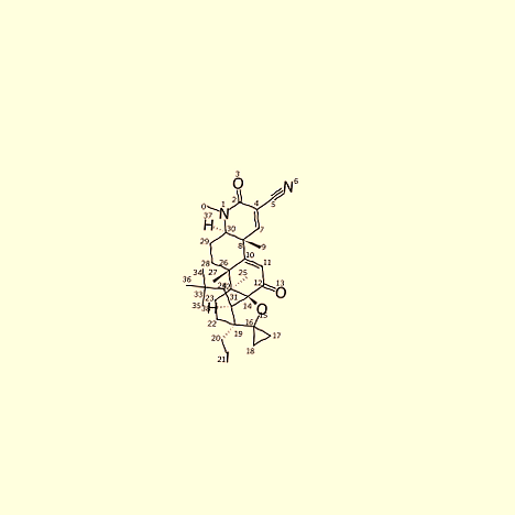 CN1C(=O)C(C#N)=C[C@]2(C)C3=CC(=O)[C@@]45OC6(CC6)[C@@](CI)(CC[C@@]4(C)[C@]3(C)CC[C@@H]12)[C@H]5CC(C)(C)C